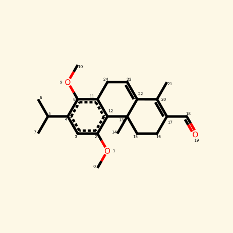 COc1cc(C(C)C)c(OC)c2c1C1(C)CCC(C=O)=C(C)C1=CC2